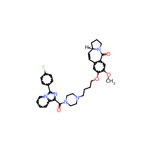 COc1cc2c(cc1OCCCCN1CCN(C(=O)c3nc(-c4ccc(F)cc4)n4ccccc34)CC1)C=C[C@@H]1CCCN1C2=O